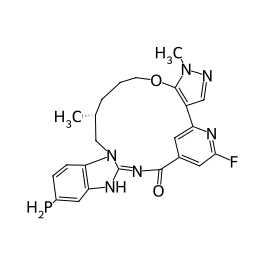 C[C@@H]1CCCOc2c(cnn2C)-c2cc(cc(F)n2)C(=O)/N=C2\Nc3cc(P)ccc3N2C1